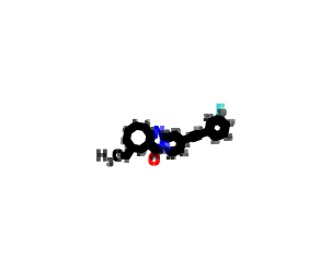 CCC1CCCCc2nc3cc(C#Cc4cccc(F)c4)ccn3c(=O)c2C1